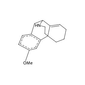 COc1ccc2c(c1)C13CCCC=C1C(C2)NCC3